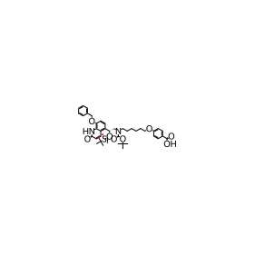 CC(C)(C)OC(=O)N(CCCCCCOc1ccc(C(=O)O)cc1)C[C@H](O[Si](C)(C)C(C)(C)C)c1ccc(OCc2ccccc2)c2[nH]c(=O)ccc12